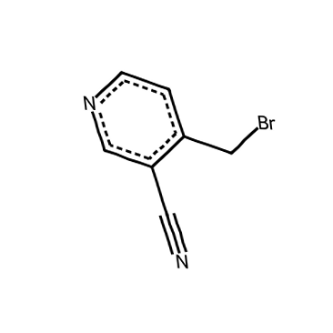 N#Cc1cnccc1CBr